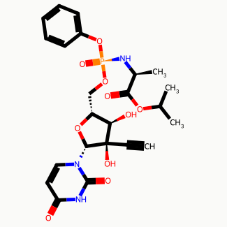 C#C[C@@]1(O)[C@H](O)[C@@H](CO[P@@](=O)(N[C@@H](C)C(=O)OC(C)C)Oc2ccccc2)O[C@H]1n1ccc(=O)[nH]c1=O